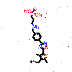 Cc1sc(-c2nc(-c3ccc(CNCCCP(=O)(O)O)cc3)no2)c(C)c1CC(C)C